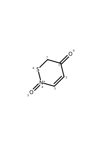 O=C1C=C[N+](=O)SC1